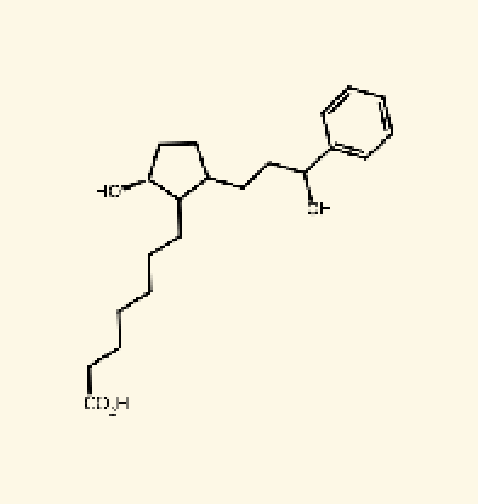 O=C(O)CCCCCCC1C(CCC(O)c2ccccc2)CC[C@@H]1O